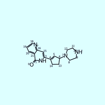 O=c1[nH]c(C2=CC(N3CCNCC3)CC2)cc2ncccc12